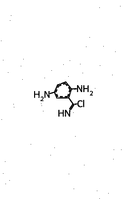 N=C(Cl)c1cc(N)ccc1N